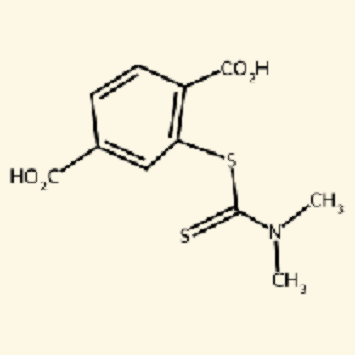 CN(C)C(=S)Sc1cc(C(=O)O)ccc1C(=O)O